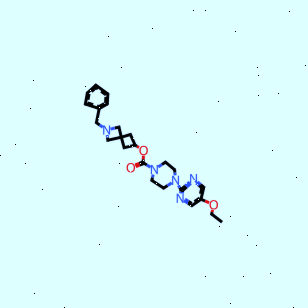 CCOc1cnc(N2CCN(C(=O)OC3CC4(C3)CN(Cc3ccccc3)C4)CC2)nc1